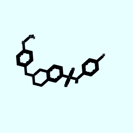 COc1ccc(CN2CCc3cc(S(=O)(=O)Nc4ccc(F)cc4)ccc3C2)cc1